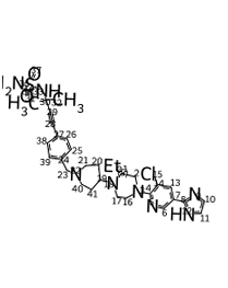 CC[C@H]1CN(c2ncc(-c3ncc[nH]3)cc2Cl)CCN1C1CCN(Cc2ccc(C#CC(C)(C)NS(N)(=O)=O)cc2)CC1